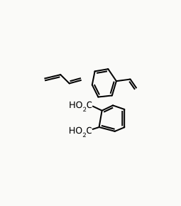 C=CC=C.C=Cc1ccccc1.O=C(O)c1ccccc1C(=O)O